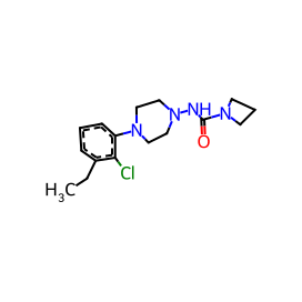 CCc1cccc(N2CCN(NC(=O)N3CCC3)CC2)c1Cl